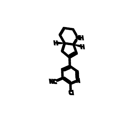 N#Cc1cc(C2=C[C@@H]3NCCC[C@@H]3C2)cnc1Cl